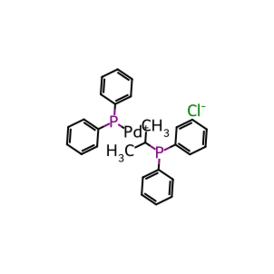 CC(C)P(c1ccccc1)c1ccccc1.[Cl-].[Pd+][P](c1ccccc1)c1ccccc1